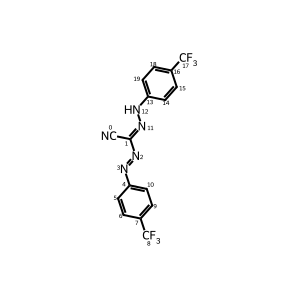 N#CC(/N=N/c1ccc(C(F)(F)F)cc1)=N\Nc1ccc(C(F)(F)F)cc1